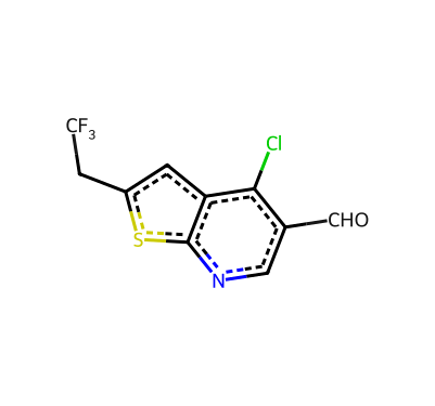 O=Cc1cnc2sc(CC(F)(F)F)cc2c1Cl